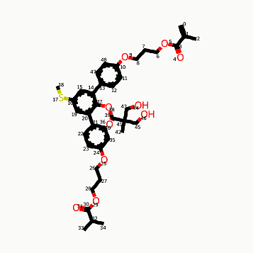 C=C(C)C(=O)OCCCOc1ccc(-c2cc(SC)cc(-c3ccc(OCCCOC(=O)C(C)C)cc3)c2OC(=O)C(C)(CO)CO)cc1